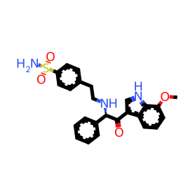 COc1cccc2c(C(=O)[C@H](NCCc3ccc(S(N)(=O)=O)cc3)c3ccccc3)c[nH]c12